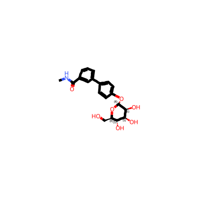 CNC(=O)c1cccc(-c2ccc(O[C@H]3O[C@H](CO)[C@@H](O)[C@H](O)[C@@H]3O)cc2)c1